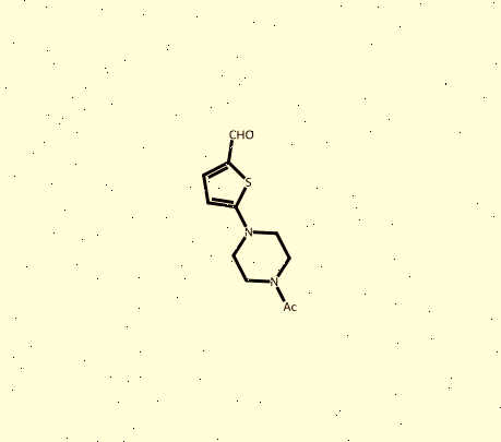 CC(=O)N1CCN(c2ccc(C=O)s2)CC1